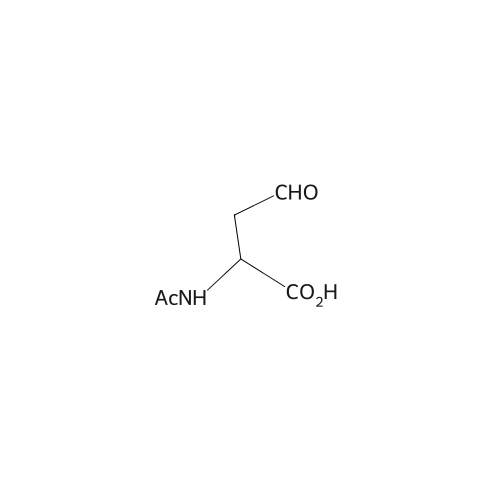 CC(=O)NC(CC=O)C(=O)O